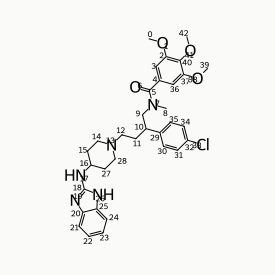 COc1cc(C(=O)N(C)CC(CCN2CCC(Nc3nc4ccccc4[nH]3)CC2)c2ccc(Cl)cc2)cc(OC)c1OC